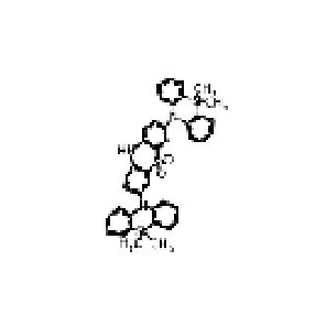 C[Si]1(C)c2ccccc2N(c2ccc3c(c2)S(=O)(=O)c2cc(N4c5ccccc5[Si](C)(C)c5ccccc54)ccc2N3)c2ccccc21